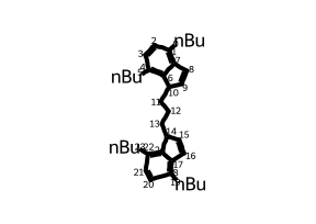 CCCCc1ccc(CCCC)c2c1C=CC2CCCC1C=Cc2c(CCCC)ccc(CCCC)c21